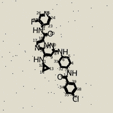 O=C(N[C@H]1CC[C@H](Nc2cc(NC3CC3)c3ncc(C(=O)Nc4ccncc4F)n3n2)CC1)c1ccc(Cl)cc1